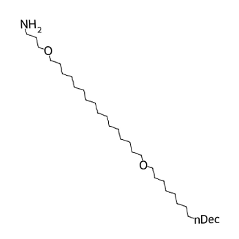 CCCCCCCCCCCCCCCCCCOCCCCCCCCCCCCCCCCOCCCN